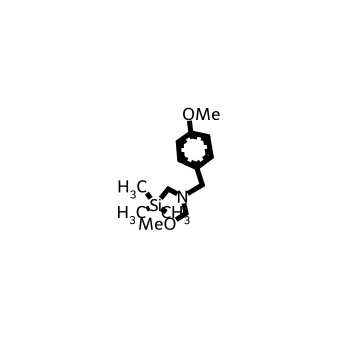 COCN(Cc1ccc(OC)cc1)C[Si](C)(C)C